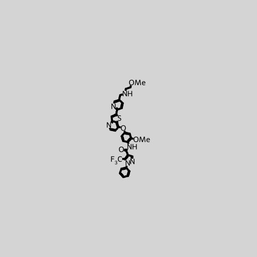 COCCNCc1ccc(-c2cc3nccc(Oc4ccc(NC(=O)c5cnn(-c6ccccc6)c5C(F)(F)F)c(OC)c4)c3s2)nc1